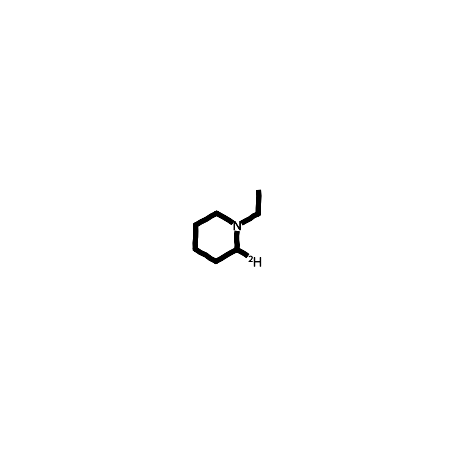 [2H]C1CCCCN1CC